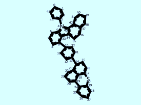 c1ccc(-n2c3cccc(-c4ccc(-c5ccc6c7c(cccc57)-c5ccccc5S6)cc4)c3c3ccc4ccccc4c32)cc1